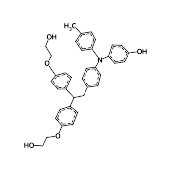 Cc1ccc(N(c2ccc(O)cc2)c2ccc(CC(c3ccc(OCCO)cc3)c3ccc(OCCO)cc3)cc2)cc1